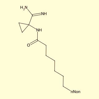 CCCCCCCCCCCCCCCC(=O)NC1(C(=N)N)CC1